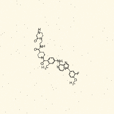 COc1ccc(-c2cnc3c(Nc4ccc(C(=O)N5CCC(C(=O)NCCN6CCNCC6=O)CC5)c(C)c4)nccn23)cc1F